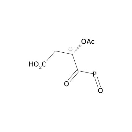 CC(=O)O[C@@H](CC(=O)O)C(=O)P=O